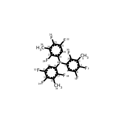 Cc1c(F)c(F)cc(P(c2cc(F)c(F)c(C)c2F)c2cc(F)c(F)c(C)c2F)c1F